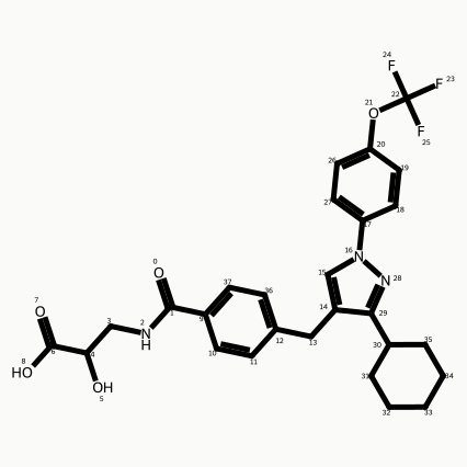 O=C(NCC(O)C(=O)O)c1ccc(Cc2cn(-c3ccc(OC(F)(F)F)cc3)nc2C2CCCCC2)cc1